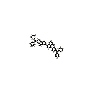 CC1(C)c2cc(-c3ccc4c5c(cccc35)Sc3cc(N(c5ccccc5)c5ccccc5)ccc3-4)ccc2-c2ccc(N(c3ccccc3)c3ccccc3)cc21